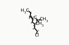 CCCCCCCCCl.CN(C)C